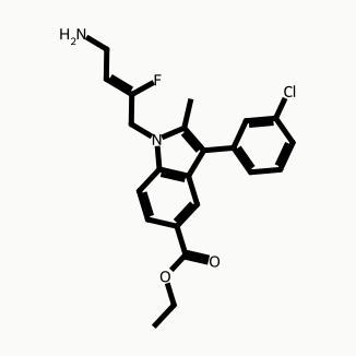 CCOC(=O)c1ccc2c(c1)c(-c1cccc(Cl)c1)c(C)n2C/C(F)=C/CN